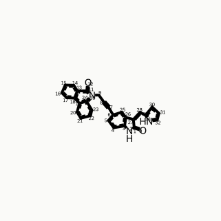 O=C1Nc2ccc(C#CCn3c(=O)c4ccccc4c4ccccc43)cc2C1=Cc1ccc[nH]1